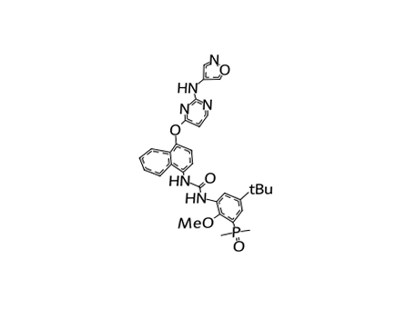 COc1c(NC(=O)Nc2ccc(Oc3ccnc(Nc4cnoc4)n3)c3ccccc23)cc(C(C)(C)C)cc1P(C)(C)=O